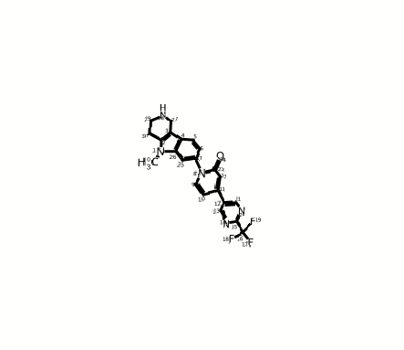 Cn1c2c(c3ccc(-n4ccc(-c5cnc(C(F)(F)F)nc5)cc4=O)cc31)CNCC2